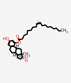 CCCCCCCC/C=C\CCCCCCCC(=O)Oc1cc(O)cc2c1[C@H]1CC[C@]3(C)[C@H](O)CC[C@H]3[C@@H]1CC2